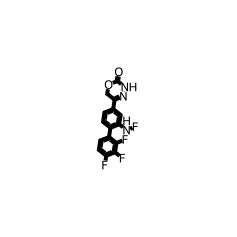 O=C1NN=C(c2ccc(-c3ccc(F)c(F)c3F)c(NF)c2)CO1